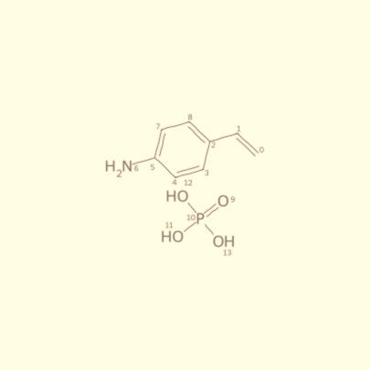 C=Cc1ccc(N)cc1.O=P(O)(O)O